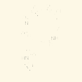 CC1=C\C(O)CC(=O)Cc2nc(co2)C(=O)N2CCCC2C(=O)OC(C(C)COC(=O)Nc2ccn(C)n2)C(C)/C=C/C(=O)NC\C=C\1